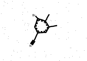 Cc1cc(C#N)cc(Br)c1C